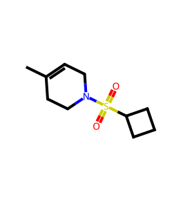 CC1=CCN(S(=O)(=O)C2CCC2)CC1